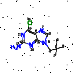 CC(C)(C)Cn1cnc2c(Cl)nc(N)nc21